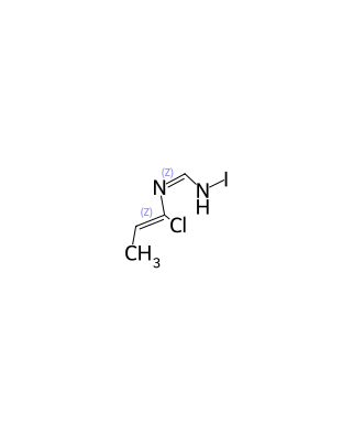 C/C=C(Cl)/N=C\NI